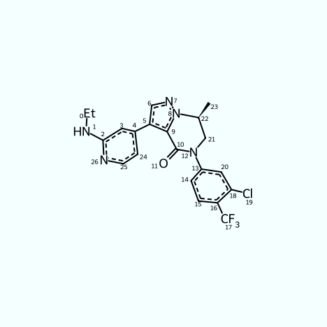 CCNc1cc(-c2cnn3c2C(=O)N(c2ccc(C(F)(F)F)c(Cl)c2)C[C@@H]3C)ccn1